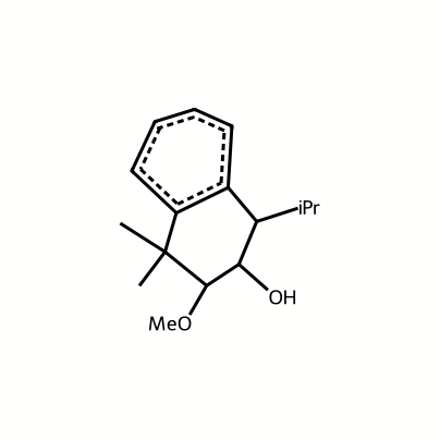 COC1C(O)C(C(C)C)c2ccccc2C1(C)C